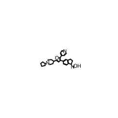 O/N=C1\CCc2cc(-c3cc(C4CCN(C5CCCC5)CC4)oc3-c3ccncc3)ccc21